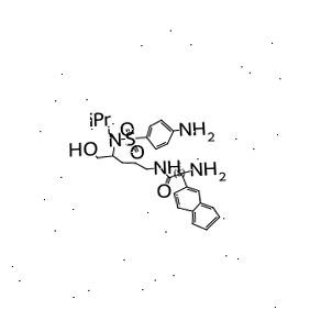 CC(C)CN(C(CO)CCCNC(=O)[C@@](C)(N)c1ccc2ccccc2c1)S(=O)(=O)c1ccc(N)cc1